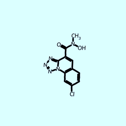 CN(O)C(=O)c1cc2ccc(Cl)cc2n2nnnc12